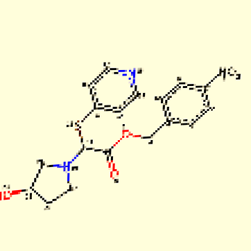 O=C(OCc1ccc([N+](=O)[O-])cc1)C(Sc1ccncc1)N1CC[C@@H](O)C1